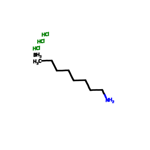 B.CCCCCCCCN.Cl.Cl.Cl